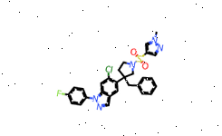 Cn1cc(S(=O)(=O)N2CCC(Cc3ccccc3)(c3cc4cnn(-c5ccc(F)cc5)c4cc3Cl)C2)cn1